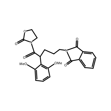 COc1cccc(OC)c1C(CCCN1C(=O)c2ccccc2C1=O)C(=O)N1CCOC1=O